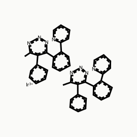 Cc1nnnc(-c2ccccc2-c2ccccn2)c1-c1ccccc1.Cc1nnnc(-c2ccccc2-c2ccccn2)c1-c1ccccc1.[Ir+3]